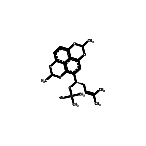 CC(C)=CC[C@H](O[Si](C)(C)C(C)(C)C)c1cc2c3c(ccc4c3c1OC(C)O4)OC(C)O2